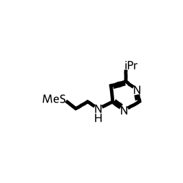 CSCCNc1cc(C(C)C)ncn1